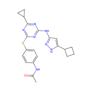 CC(=O)Nc1ccc(Sc2nc(Nc3cc(C4CCC4)[nH]n3)nc(C3CC3)n2)cc1